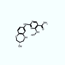 CCCNc1nc(Nc2ccc3c(c2)NC[C@H](O)CO3)ncc1C(N)=O